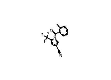 Cc1ccccc1C(=O)n1cc(C#N)cc1C(F)(F)F